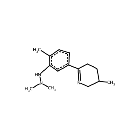 Cc1ccc(C2=NCC(C)CC2)cc1NN(C)C